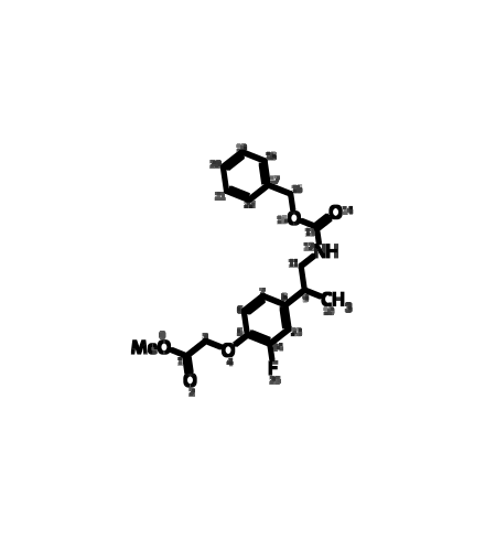 COC(=O)COc1ccc(C(C)CNC(=O)OCc2ccccc2)cc1F